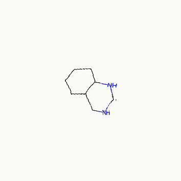 [CH]1NCC2CCCCC2N1